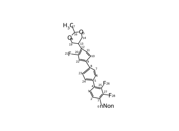 CCCCCCCCCc1ccc(-c2ccc(-c3ccc(C4COC(C)OC4)c(F)c3)cc2)c(F)c1F